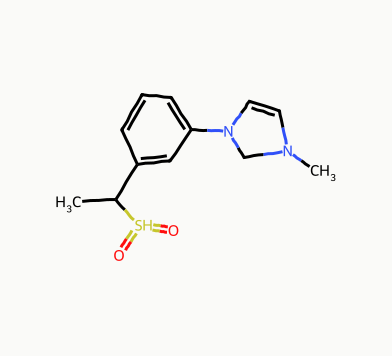 CC(c1cccc(N2C=CN(C)C2)c1)[SH](=O)=O